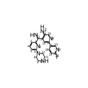 N=C(c1cccc(N2CCNCC2)n1)c1cc(-c2ccc(F)nc2)ncc1N